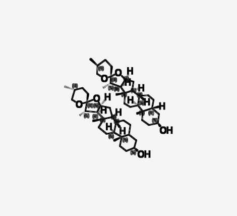 C[C@@H]1CC[C@@]2(OC1)O[C@H]1C[C@H]3[C@@H]4CCC5C[C@@H](O)CC[C@]5(C)[C@H]4CC[C@]3(C)[C@H]1[C@@H]2C.C[C@H]1CC[C@@]2(OC1)O[C@H]1C[C@H]3[C@@H]4CC[C@@H]5C[C@@H](O)CC[C@]5(C)[C@H]4CC[C@]3(C)[C@H]1[C@@H]2C